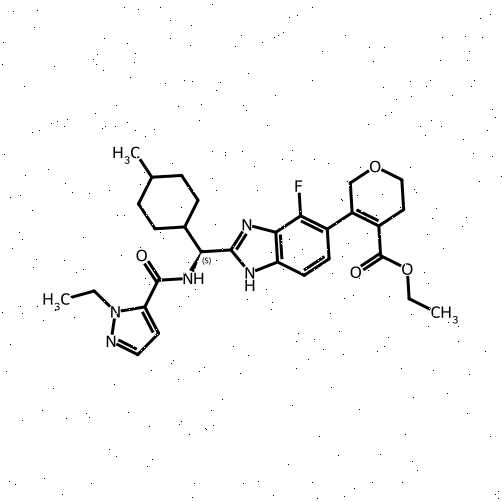 CCOC(=O)C1=C(c2ccc3[nH]c([C@@H](NC(=O)c4ccnn4CC)C4CCC(C)CC4)nc3c2F)COCC1